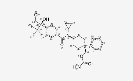 NC(=O)OC[C@]1(c2ccccn2)CC[C@H](N(C(=O)c2ccc([C@@](O)(CO)C(F)(F)F)cc2)C2CC2)CC1